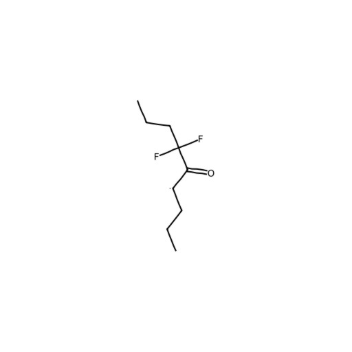 CCC[CH]C(=O)C(F)(F)CCC